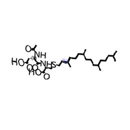 CC(=O)N[C@@H](CC(=O)O)C(=O)NC(CSC/C=C(\C)CCCC(C)CCCC(C)CCCC(C)C)C(=O)O